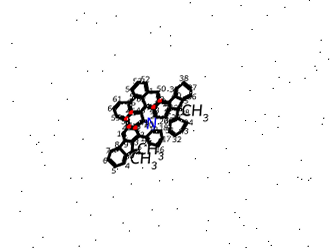 CC1(C)c2ccccc2-c2cccc(-c3ccccc3N(c3ccc4c(c3)C(C)(c3ccccc3)c3ccccc3-4)c3ccccc3-c3cccc4cccc(-c5ccccc5)c34)c21